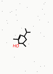 CC1=CC(C(C)C)CC(C)C1O